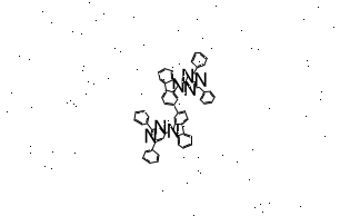 c1ccc(-c2cc(-n3c4ccccc4c4ccc(-c5ccc6c7ccccc7n(-c7nc(-c8ccccc8)nc(-c8ccccc8)n7)c6c5)cc43)nc(-c3ccccc3)n2)cc1